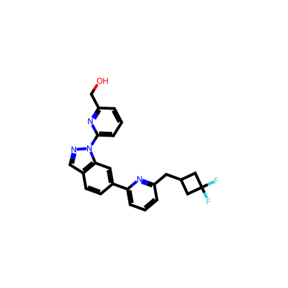 OCc1cccc(-n2ncc3ccc(-c4cccc(CC5CC(F)(F)C5)n4)cc32)n1